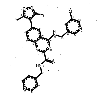 Cc1noc(C)c1-c1ccc2nc(C(=O)NCc3ccncc3)nc(NCc3cncc(Cl)c3)c2c1